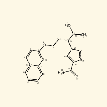 C[C@H](O)[C@@H](CCOc1ccc2ccccc2n1)n1cnc(C(N)=O)c1